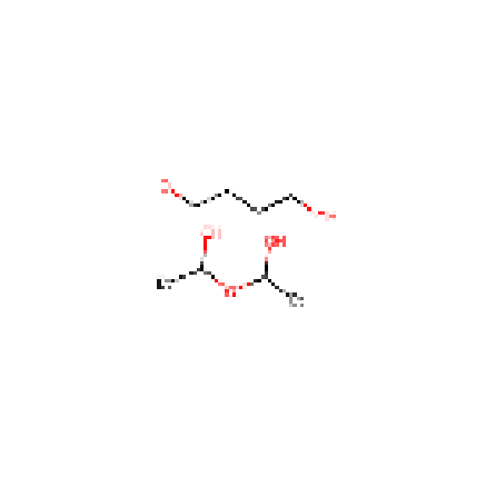 CCC(O)OC(O)CC.OCCCCO